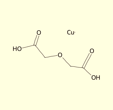 O=C(O)COCC(=O)O.[Cu]